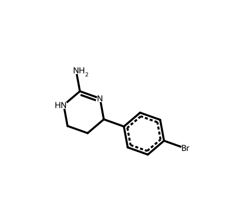 NC1=NC(c2ccc(Br)cc2)CCN1